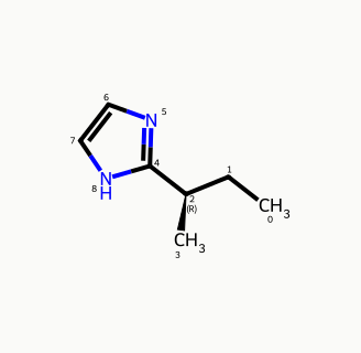 CC[C@@H](C)c1ncc[nH]1